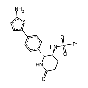 CC(C)S(=O)(=O)N[C@H]1CCC(=O)N[C@@H]1c1ccc(-c2ccc(N)s2)cc1